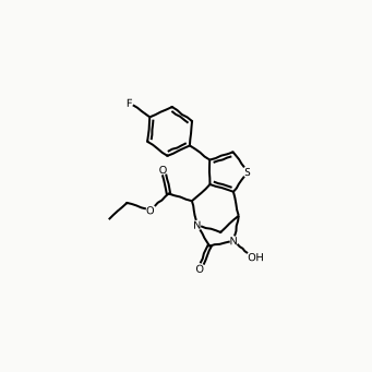 CCOC(=O)C1c2c(-c3ccc(F)cc3)csc2C2CN1C(=O)N2O